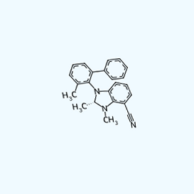 Cc1cccc(-c2ccccc2)c1N1c2cccc(C#N)c2N(C)[C@@H]1C